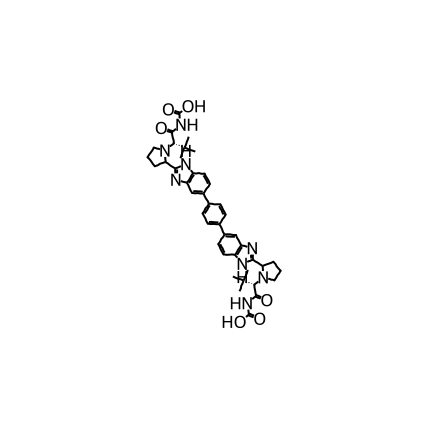 CC(C)(C)[C@@H](C(=O)NC(=O)O)N1CCCC1c1nc2cc(-c3ccc(-c4ccc5[nH]c(C6CCCN6[C@H](C(=O)NC(=O)O)C(C)(C)C)nc5c4)cc3)ccc2[nH]1